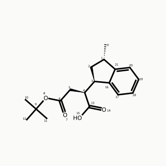 C[C@H]1C[C@H]([C@H](CC(=O)OC(C)(C)C)C(=O)O)c2ccccc21